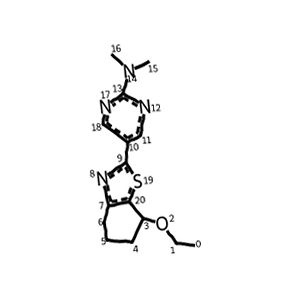 CCOC1CCCc2nc(-c3cnc(N(C)C)nc3)sc21